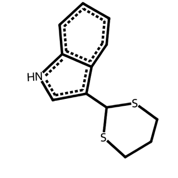 c1ccc2c(C3SCCCS3)c[nH]c2c1